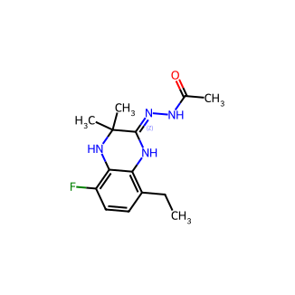 CCc1ccc(F)c2c1N/C(=N\NC(C)=O)C(C)(C)N2